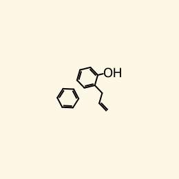 C=CCc1ccccc1O.c1ccccc1